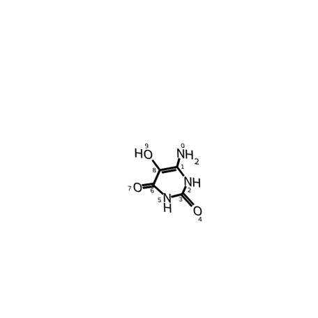 Nc1[nH]c(=O)[nH]c(=O)c1O